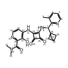 Cc1cccnc1[C@H](Nc1c(Nc2ccnc(C(=O)N(C)C)c2O)c(=O)c1=O)C12CC(C1)C2